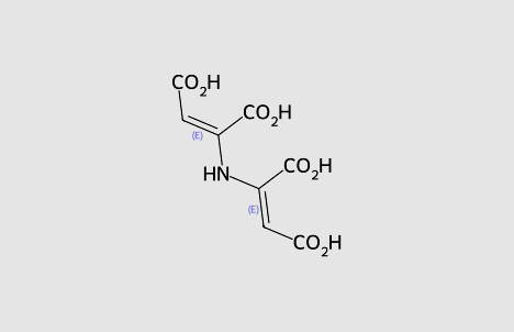 O=C(O)/C=C(/N/C(=C/C(=O)O)C(=O)O)C(=O)O